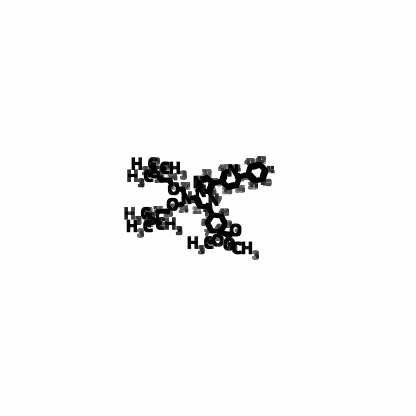 COC(=O)C1(OC)CCC(c2cc(N(COCC[Si](C)(C)C)COCC[Si](C)(C)C)n3ncc(-c4ccc(-c5ccccc5)nc4)c3n2)CC1